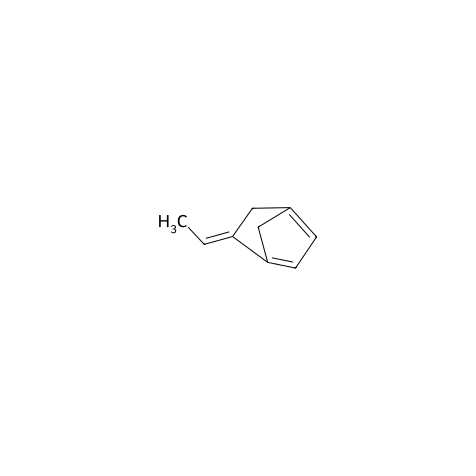 CC=C1CC2=CC=C1C2